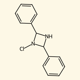 ClN1C(c2ccccc2)NC1c1ccccc1